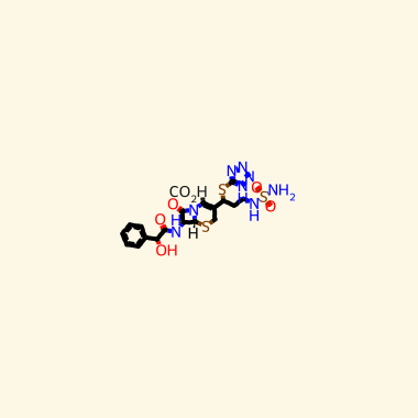 NS(=O)(=O)NCCC(Sc1nnn[nH]1)C1=C(C(=O)O)N2C(=O)C(NC(=O)C(O)c3ccccc3)[C@@H]2SC1